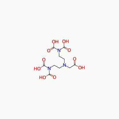 O=C(O)CN(CCN(C(=O)O)C(=O)O)CCN(C(=O)O)C(=O)O